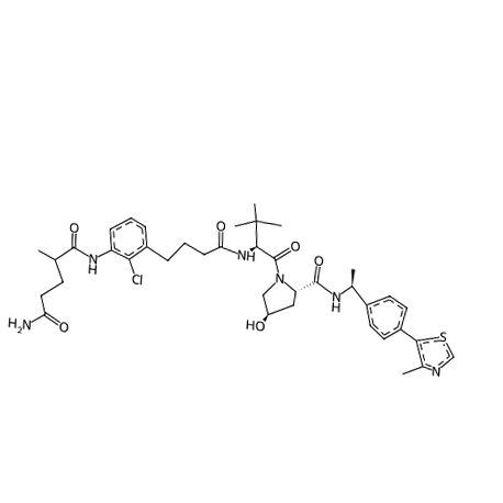 Cc1ncsc1-c1ccc([C@H](C)NC(=O)[C@@H]2C[C@@H](O)CN2C(=O)[C@@H](NC(=O)CCCc2cccc(NC(=O)C(C)CCC(N)=O)c2Cl)C(C)(C)C)cc1